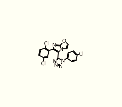 Clc1ccc(-n2nnnc2-c2c(-c3cc(Cl)ccc3Cl)nc3occn23)cc1